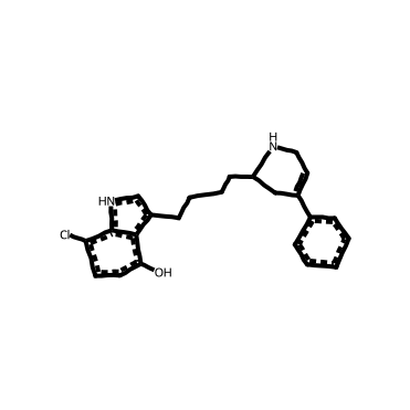 Oc1ccc(Cl)c2[nH]cc(CCCCC3CC(c4ccccc4)=CCN3)c12